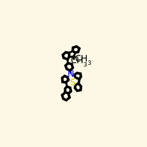 CC1(C)c2ccccc2-c2cccc(-c3ccc(N(c4cccc(-c5ccc6ccccc6c5)c4)c4cccc5c4sc4ccccc45)cc3)c21